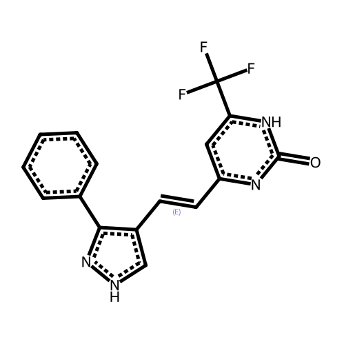 O=c1nc(/C=C/c2c[nH]nc2-c2ccccc2)cc(C(F)(F)F)[nH]1